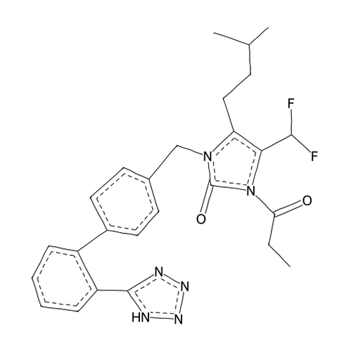 CCC(=O)n1c(C(F)F)c(CCC(C)C)n(Cc2ccc(-c3ccccc3-c3nnn[nH]3)cc2)c1=O